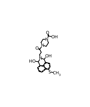 CSc1ccc2c3c(cccc13)C(O)N(CCC(=O)N1CCN(C(=O)O)CC1)C2O